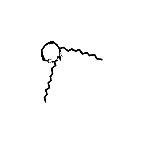 CCCCCCCCCCCC1CC=CCCC=CCC(CCCCCCCCCCC)N=N1